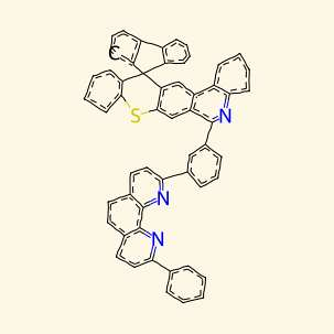 c1ccc(-c2ccc3ccc4ccc(-c5cccc(-c6nc7ccccc7c7cc8c(cc67)Sc6ccccc6C86c7ccccc7-c7ccccc76)c5)nc4c3n2)cc1